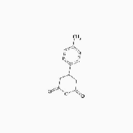 Cc1ccc(C2CC(=O)OC(=O)C2)cc1